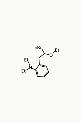 CCCCC(Cc1ccccc1N(CC)CC)OCC